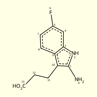 Nc1[nH]c2cc(F)ccc2c1CCC(=O)O